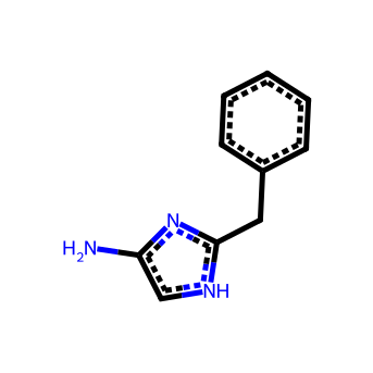 Nc1c[nH]c(Cc2ccccc2)n1